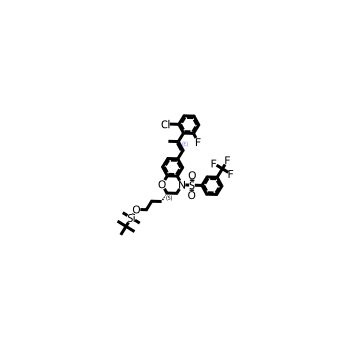 C/C(=C\c1ccc2c(c1)N(S(=O)(=O)c1cccc(C(F)(F)F)c1)C[C@H](CCCO[Si](C)(C)C(C)(C)C)O2)c1c(F)cccc1Cl